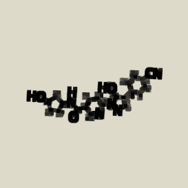 N#Cc1ccc(-c2cnn(-c3ccc(C(=O)N[C@H]4CC[C@H](O)C4)cn3)c2O)cc1